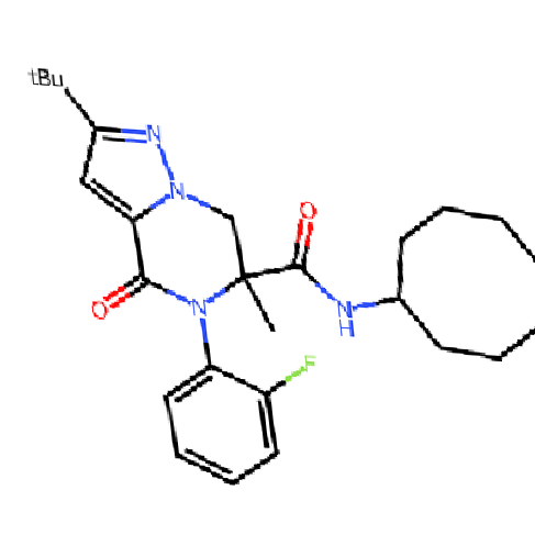 CC(C)(C)c1cc2n(n1)CC(C)(C(=O)NC1CCCCCCC1)N(c1ccccc1F)C2=O